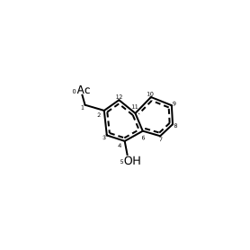 CC(=O)Cc1cc(O)c2ccccc2c1